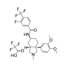 COc1ccc([C@]23CC[C@H](NC(=O)c4ccc(C(F)(F)F)c(F)c4)C[C@H]2CN(C)C3)cc1OC.O=C(O)C(F)(F)F